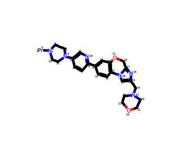 CC(C)N1CCN(c2ccc(-c3ccc4c(c3)OCc3nc(CN5CCOCC5)cn3-4)nc2)CC1